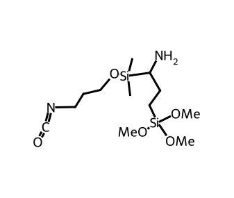 CO[Si](CCC(N)[Si](C)(C)OCCCN=C=O)(OC)OC